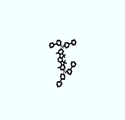 Cc1cc(N(c2ccc(-c3ccccc3)cc2)c2cccc(-c3ccccc3)c2)cc2c1C1=C(C3=C(CC1)c1c(C)cc(N(c4ccc(-c5ccccc5)cc4)c4cccc(-c5ccccc5)c4)cc1C3(C)C)C2(C)C